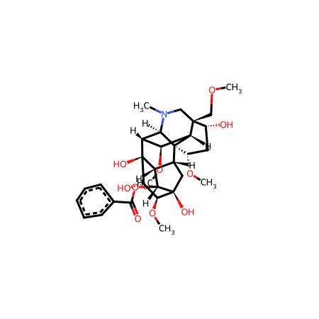 COC[C@]12CN(C)[C@@H]3[C@@H]4[C@H](OC)[C@H]1[C@@]3([C@@H](OC)C[C@H]2O)[C@@H]1C[C@@]2(O)[C@H](OC(=O)c3ccccc3)[C@@H]1[C@]4(O)[C@@H](O)[C@@H]2OC